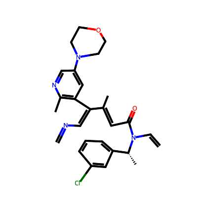 C=CN(C(=O)/C=C(C)/C(=C/N=C)c1cc(N2CCOCC2)cnc1C)[C@H](C)c1cccc(Cl)c1